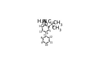 CC(C)(C)c1cc(-c2ccccc2)ccc1N